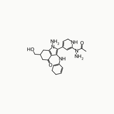 CC(=O)N(N)C1=CC(c2c(NC3=CCCC=C3)c3c(n2N)CC(CO)CC3=O)=CCN1